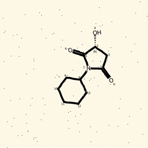 O=C1C[C@@H](O)C(=O)N1C1CCCCC1